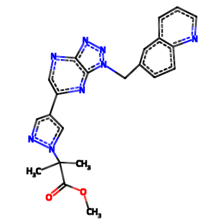 COC(=O)C(C)(C)n1cc(-c2cnc3nnn(Cc4ccc5ncccc5c4)c3n2)cn1